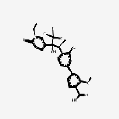 CCn1cc([C@@](O)([C@@H](C)c2ccc(-c3ccc(C(=O)O)c(OC)c3)cc2Cl)C(F)(F)F)ccc1=O